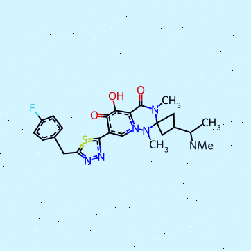 CNC(C)C1CC2(C1)N(C)C(=O)c1c(O)c(=O)c(-c3nnc(Cc4ccc(F)cc4)s3)cn1N2C